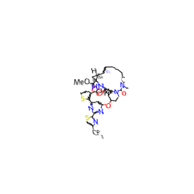 COC(=O)[C@@]12C[C@H]1/C=C/CCCCN(C)C(=O)N1CCC(Oc3cc(-c4sccc4OC)nc(-c4nc(C(F)(F)F)cs4)n3)C[C@H]1C(=O)N2